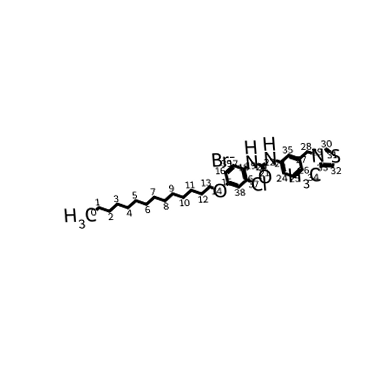 CCCCCCCCCCCCCCOc1ccc(NC(=O)Nc2cccc(C[n+]3cscc3C)c2)c(Cl)c1.[Br-]